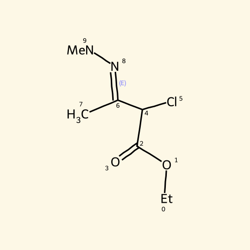 CCOC(=O)C(Cl)/C(C)=N/NC